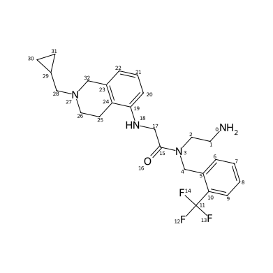 NCCN(Cc1ccccc1C(F)(F)F)C(=O)CNc1cccc2c1CCN(CC1CC1)C2